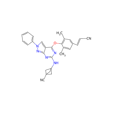 Cc1cc(/C=C/C#N)cc(C)c1Oc1nc(NC23CC(C#N)(C2)C3)nc2nn(-c3ccccc3)cc12